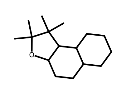 CC1(C)OC2CCC3CCCCC3C2C1(C)C